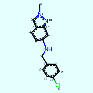 Cn1cc2ccc(NCc3ccc(Cl)cc3)cc2n1